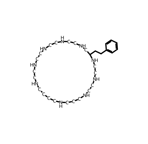 c1ccc(CCC2CNCCNCCNCCNCCNCCCCNCCCNCCNCCN2)cc1